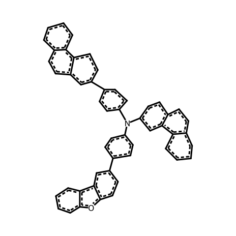 c1ccc2c(c1)ccc1cc(-c3ccc(N(c4ccc(-c5ccc6oc7ccccc7c6c5)cc4)c4ccc5ccc6ccccc6c5c4)cc3)ccc12